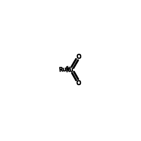 [O]=[Ru]=[O].[Ru+6]